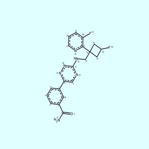 NC(=O)c1cccc(-c2cnc(NCC3(c4ncccc4F)CC(F)C3)nn2)c1